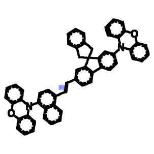 c1ccc2c(c#1)N(c1ccc3c(c1)C1(Cc4ccccc4C1)c1cc(/C=C/c4ccc(N5c6ccccc6Oc6ccccc65)c5ccccc45)ccc1-3)c1ccccc1O2